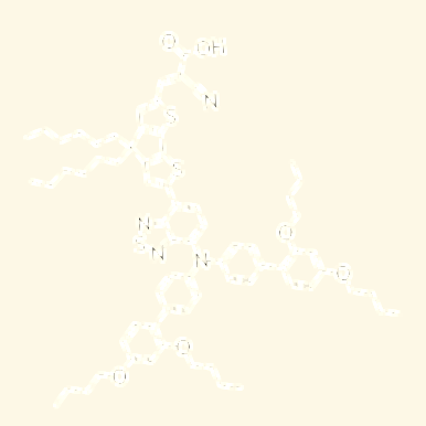 CCCCCCC1(CCCCCC)c2cc(/C=C(\C#N)C(=O)O)sc2-c2sc(-c3ccc(N(c4ccc(-c5ccc(OCCCC)cc5OCCCC)cc4)c4ccc(-c5ccc(OCCCC)cc5OCCCC)cc4)c4nsnc34)cc21